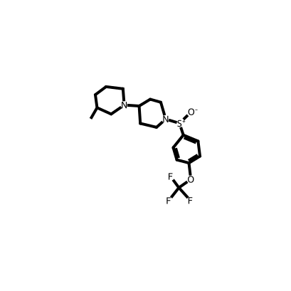 CC1CCCN(C2CCN([S+]([O-])c3ccc(OC(F)(F)F)cc3)CC2)C1